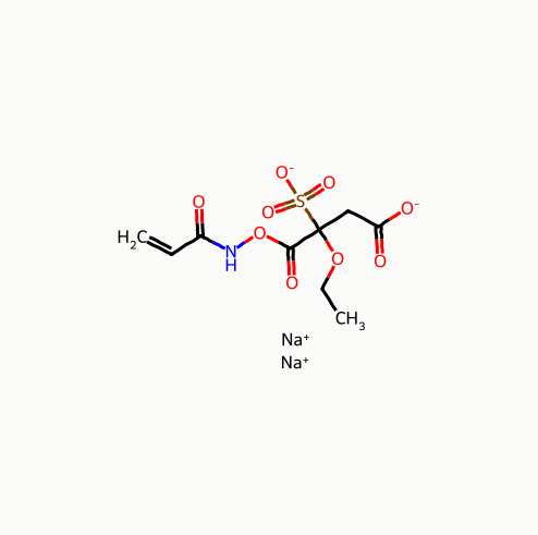 C=CC(=O)NOC(=O)C(CC(=O)[O-])(OCC)S(=O)(=O)[O-].[Na+].[Na+]